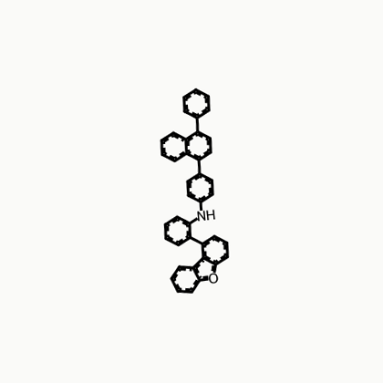 c1ccc(-c2ccc(-c3ccc(Nc4ccccc4-c4cccc5oc6ccccc6c45)cc3)c3ccccc23)cc1